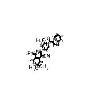 CC(C)c1nc(N2CCN(C(=O)c3cnc4ccccn34)C(C)C2)c(C#N)c2c1COC(C)(C)C2